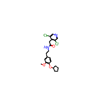 COc1cc(CCNC(=O)Cc2c(Cl)cncc2Cl)ccc1OC1CCCC1